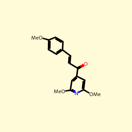 COc1ccc(/C=C/C(=O)c2cc(OC)nc(OC)c2)cc1